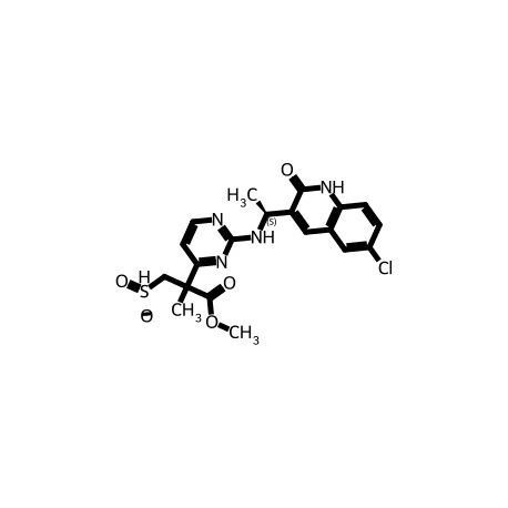 COC(=O)C(C)(C[SH](=O)=O)c1ccnc(N[C@@H](C)c2cc3cc(Cl)ccc3[nH]c2=O)n1